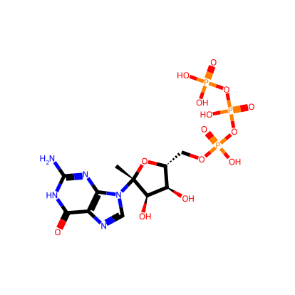 C[C@@]1(n2cnc3c(=O)[nH]c(N)nc32)O[C@H](COP(=O)(O)OP(=O)(O)OP(=O)(O)O)[C@@H](O)[C@H]1O